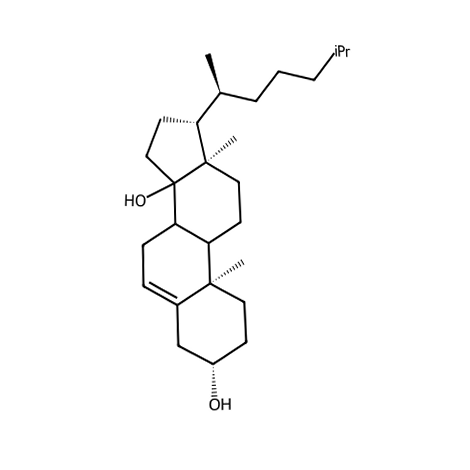 CC(C)CCC[C@H](C)[C@H]1CCC2(O)C3CC=C4C[C@@H](O)CC[C@]4(C)C3CC[C@]12C